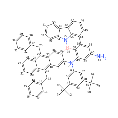 CC(C)(C)c1cc(N2c3cc4c(Cc5ccccc5)c5ccccc5c(Cc5ccccc5)c4cc3B3c4c(cc(N)cc42)-c2cccc4c5ccccc5n3c24)cc(C(C)(C)C)c1